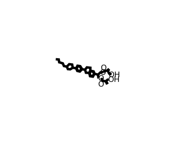 C=C(CO)C(=O)OCC(COC(=O)C(=C)CO)c1ccc2c(c1)CCC(c1ccc(C3CCC(CCCCC)CC3)cc1)C2